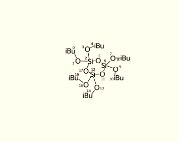 CCC(C)O[Si]1(OC(C)CC)O[Si](OC(C)CC)(OC(C)CC)O[Si](OC(C)CC)(OC(C)CC)O1